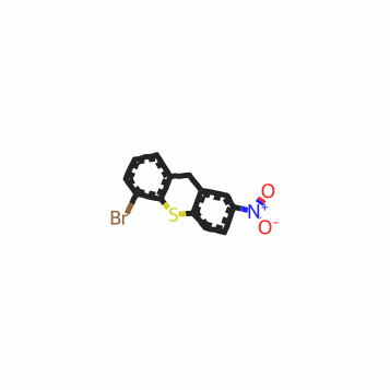 O=[N+]([O-])c1ccc2c(c1)Cc1cccc(Br)c1S2